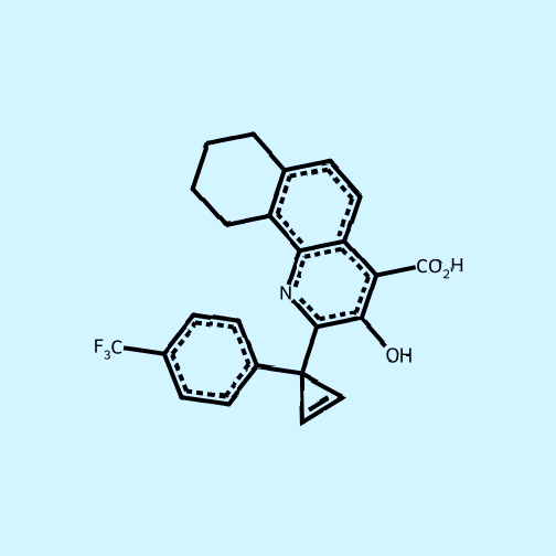 O=C(O)c1c(O)c(C2(c3ccc(C(F)(F)F)cc3)C=C2)nc2c3c(ccc12)CCCC3